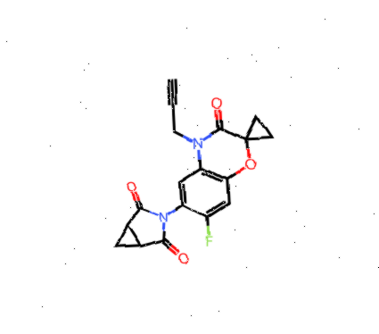 C#CCN1C(=O)C2(CC2)Oc2cc(F)c(N3C(=O)C4CC4C3=O)cc21